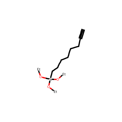 C#CCCCCCC[Si](OCC)(OCC)OCC